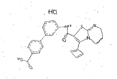 Cl.O=C(Nc1cccc(-c2ccc(C(=O)O)cc2)c1)C1=C(C2=CC=C2)N2CCCN=C2S1